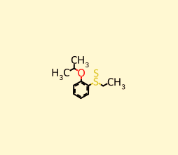 CCS(=S)c1ccccc1OC(C)C